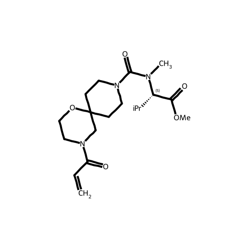 C=CC(=O)N1CCOC2(CCN(C(=O)N(C)[C@H](C(=O)OC)C(C)C)CC2)C1